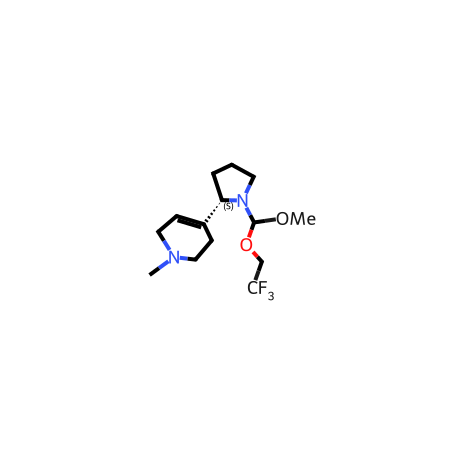 COC(OCC(F)(F)F)N1CCC[C@H]1C1=CCN(C)CC1